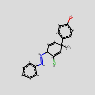 O=[N+]([O-])C1(c2ccc(O)cc2)C=CC(/N=N/c2ccccc2)C(Cl)=C1